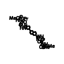 COC[C@H](NC(=O)OC)C(=O)N1CCC[C@H]1c1ncc(-c2ccc3cc(-c4ccc5nc([C@@H]6CCCN6C(=O)[C@@H](NC(=O)OC)C(C)C)[nH]c5c4)ccc3c2)[nH]1